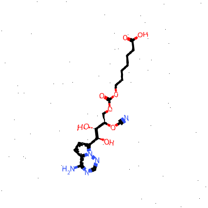 N#CO[C@H](COC(=O)OCCCCCCC(=O)O)[C@@H](O)[C@@H](O)c1ccc2c(N)ncnn12